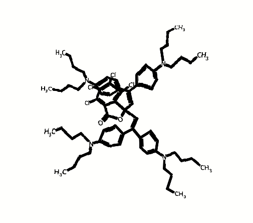 CCCCN(CCCC)c1ccc(C(=CC2(C=C(c3ccc(N(CCCC)CCCC)cc3)c3ccc(N(CCCC)CCCC)cc3)OC(=O)c3c(Cl)c(Cl)c(Cl)c(Cl)c32)c2ccc(N(CCCC)CCCC)cc2)cc1